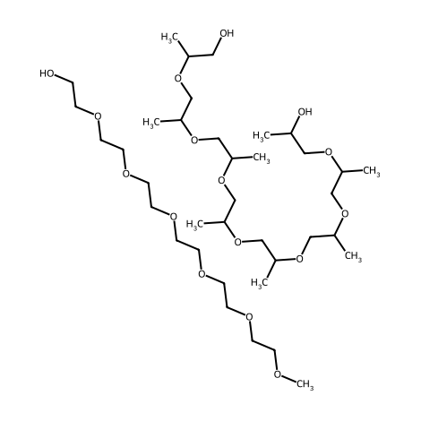 CC(O)COC(C)COC(C)COC(C)COC(C)COC(C)COC(C)COC(C)CO.COCCOCCOCCOCCOCCOCCO